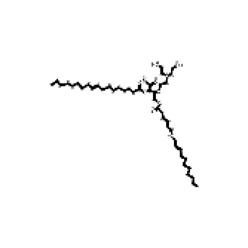 CCCCCCCCC=CCCCCCCCC(=O)OCC(OCCN(CCO)CCO)C(OC(=O)CCCCCCCC=CCCCCCCCC)C(N)=S